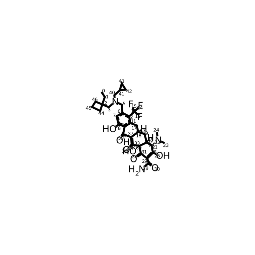 CCC1(CN(Cc2cc(O)c3c(c2C(F)(F)F)C[C@H]2C[C@H]4[C@H](N(C)C)C(O)=C(C(N)=O)C(=O)[C@@]4(O)C(O)=C2C3=O)CC2CC2)CCC1